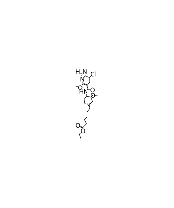 CCOC(=O)CCCCCN1CC[C@@H](NC(=O)c2cc(Cl)c(N)nc2OC)[C@@H](OC)C1